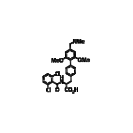 CNCc1cc(OC)c(-c2ccc(C[C@H](NC(=O)c3c(Cl)cccc3Cl)C(=O)O)cc2)c(OC)c1